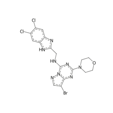 Clc1cc2nc(CNc3nc(N4CCOCC4)nc4c(Br)cnn34)[nH]c2cc1Cl